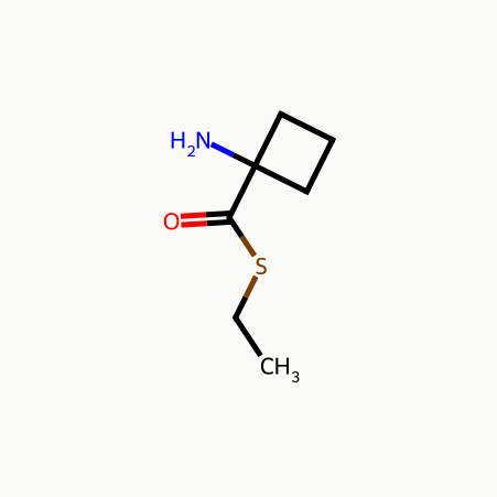 CCSC(=O)C1(N)CCC1